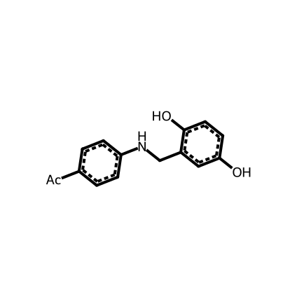 CC(=O)c1ccc(NCc2cc(O)ccc2O)cc1